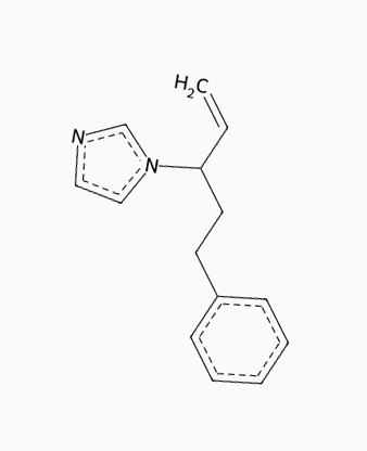 C=CC(CCc1ccccc1)n1ccnc1